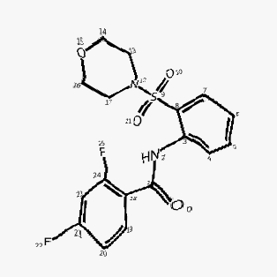 O=C(Nc1ccccc1S(=O)(=O)N1CCOCC1)c1ccc(F)cc1F